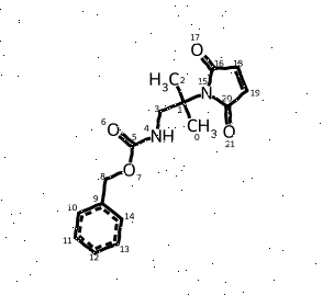 CC(C)(CNC(=O)OCc1ccccc1)N1C(=O)C=CC1=O